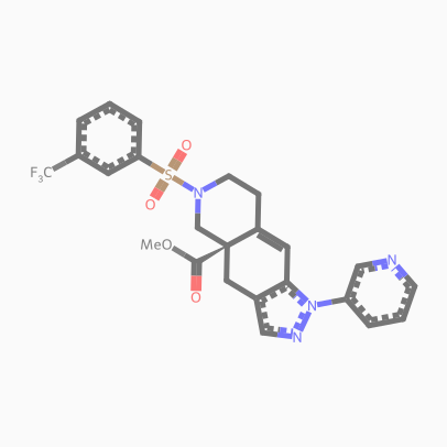 COC(=O)[C@]12Cc3cnn(-c4cccnc4)c3C=C1CCN(S(=O)(=O)c1cccc(C(F)(F)F)c1)C2